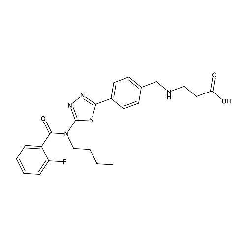 CCCCN(C(=O)c1ccccc1F)c1nnc(-c2ccc(CNCCC(=O)O)cc2)s1